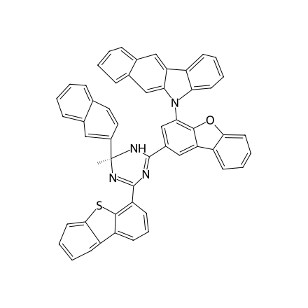 C[C@@]1(c2ccc3ccccc3c2)N=C(c2cccc3c2sc2ccccc23)N=C(c2cc(-n3c4ccccc4c4cc5ccccc5cc43)c3oc4ccccc4c3c2)N1